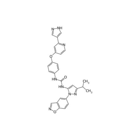 CC(C)c1cc(NC(=O)Nc2ccc(Oc3ccnc(-c4cn[nH]c4)c3)cc2)n(-c2ccc3oncc3c2)n1